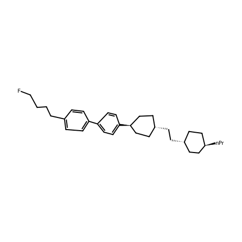 CCC[C@H]1CC[C@H](CC[C@H]2CC[C@H](c3ccc(-c4ccc(CCCCF)cc4)cc3)CC2)CC1